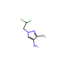 Cc1nn(CC(F)F)cc1N